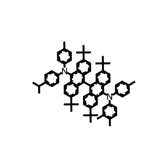 Cc1ccc(N(c2ccc(C(C)C)cc2)c2c3ccc(C(C)(C)C)cc3c(-c3c4cc(C(C)(C)C)ccc4c(N(c4ccc(C)cc4)c4ccc(C)c(C)c4)c4cc(C(C)(C)C)ccc34)c3ccc(C(C)(C)C)cc23)cc1